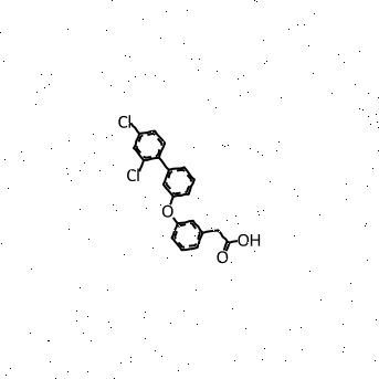 O=C(O)Cc1cccc(Oc2cccc(-c3ccc(Cl)cc3Cl)c2)c1